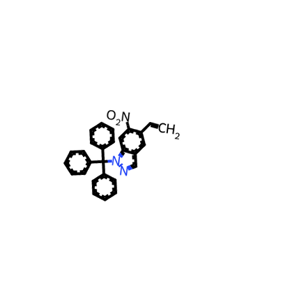 C=Cc1cc2cnn(C(c3ccccc3)(c3ccccc3)c3ccccc3)c2cc1[N+](=O)[O-]